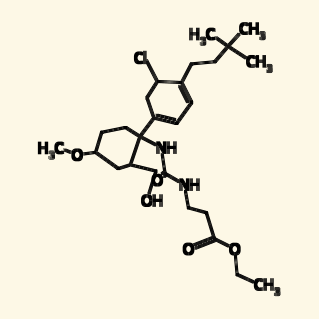 CCOC(=O)CCNC(=O)NC1(C2=CC=C(CCC(C)(C)C)C(Cl)C2)CCC(OC)CC1CO